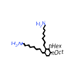 CCCCCCCCC1CCC(CCCCCCCCN)C(CCCCCCCCN)C1CCCCCC